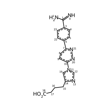 N=C(N)c1ccc(-c2ccc(-n3cnc(CCCC(=O)O)c3)nn2)cc1